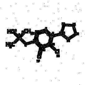 CC(C)(O)Cn1ncc(N2C[CH]CC2)c(Cl)c1=O